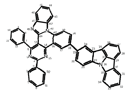 c1ccc(-c2nc(-c3ccccc3)c3c(n2)c2cc(-c4ccc5c(c4)c4cccc6c7ccccc7n5c64)ccc2n2c4ccccc4nc32)cc1